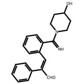 N=C(c1ccccc1C=C(C=O)c1ccccc1)N1CCC(O)CC1